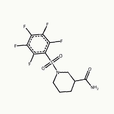 NC(=O)C1CCCN(S(=O)(=O)c2c(F)c(F)c(F)c(F)c2F)C1